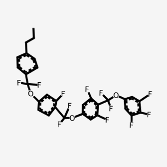 CCCc1ccc(C(F)(F)Oc2ccc(C(F)(F)Oc3cc(F)c(C(F)(F)Oc4cc(F)c(F)c(F)c4)c(F)c3)c(F)c2)cc1